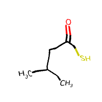 CC(C)CC(=O)S